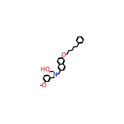 COc1cccc(CN(CCO)Cc2ccc3cc(OCCCCCc4ccccc4)ccc3c2)c1